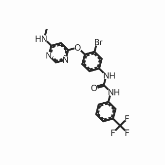 CNc1cc(Oc2ccc(NC(=O)Nc3cccc(C(F)(F)F)c3)cc2Br)ncn1